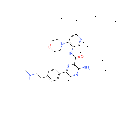 CNCCc1ccc(-c2cnc(N)c(C(=O)Nc3cnccc3N3CCOCC3)n2)cc1